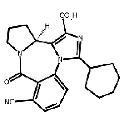 N#Cc1cccc2c1C(=O)N1CCC[C@H]1c1c(C(=O)O)nc(C3CCCCC3)n1-2